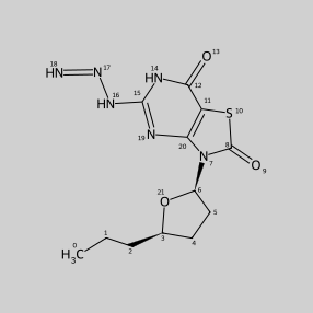 CCC[C@@H]1CC[C@H](n2c(=O)sc3c(=O)[nH]c(NN=N)nc32)O1